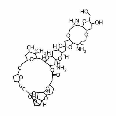 C=C1C2C[C@@H]3O[C@H]4C[C@H]5O[C@@]6(CC7OCC[C@H](N)C8OC(CO)C(O)CC8OCC[C@H](N)C7O6)C[C@H]5O[C@H]4[C@H](N)C3OC(=O)CC3CCC4O[C@H]5C6OC7(CCC8CCC(CCC(C[C@H]1C)O2)O8)CC6O[C@H]5C(O7)[C@H]4O3